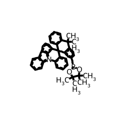 CC1(C)c2ccccc2C2(c3ccccc3-n3c4ccccc4c4cccc2c43)c2cc(B3OC(C)(C)C(C)(C)O3)ccc21